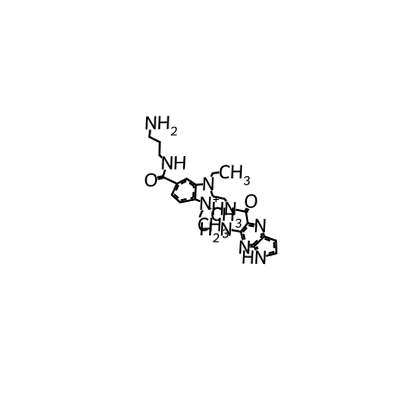 CCN1c2cc(C(=O)NCCCN)ccc2[N+](C)(CC)C1CNC(=O)c1nc2cc[nH]c2nc1N